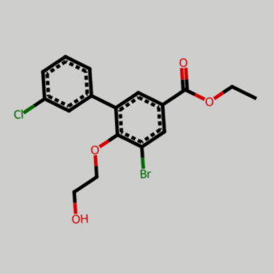 CCOC(=O)c1cc(Br)c(OCCO)c(-c2cccc(Cl)c2)c1